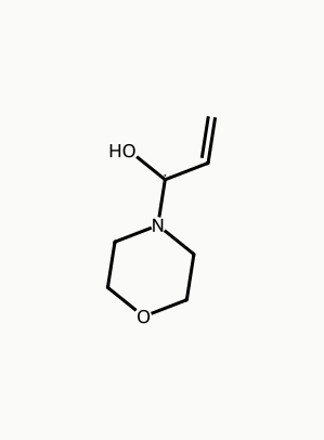 C=C[C](O)N1CCOCC1